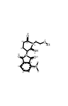 CCOCCN1C(=N)C(N2C(=O)c3cccc(N(C)C)c3C2=O)CCC1=O